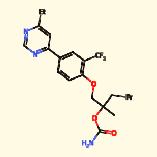 CCc1cc(-c2ccc(OCC(C)(CC(C)C)OC(N)=O)c(C(F)(F)F)c2)ncn1